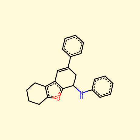 C1=C(c2ccccc2)CC(Nc2ccccc2)c2oc3c(c21)CCCC3